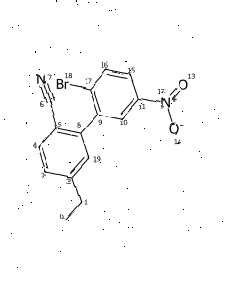 CCc1[c]cc(C#N)c(-c2cc([N+](=O)[O-])ccc2Br)c1